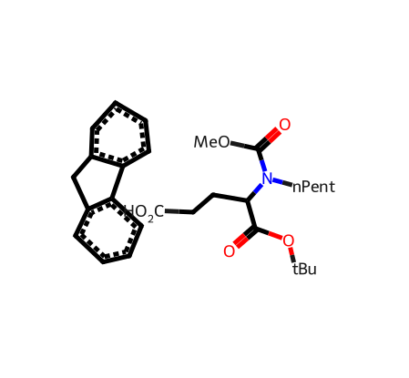 CCCCCN(C(=O)OC)C(CCC(=O)O)C(=O)OC(C)(C)C.c1ccc2c(c1)Cc1ccccc1-2